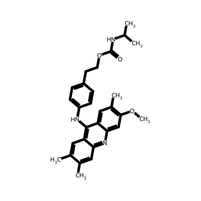 COc1cc2nc3cc(C)c(C)cc3c(Nc3ccc(CCOC(=O)NC(C)C)cc3)c2cc1C